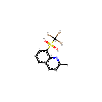 Cc1ccc2cccc(S(=O)(=O)C(Br)(Br)Br)c2n1